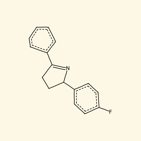 Fc1ccc(C2CCC(c3ccccc3)=N2)cc1